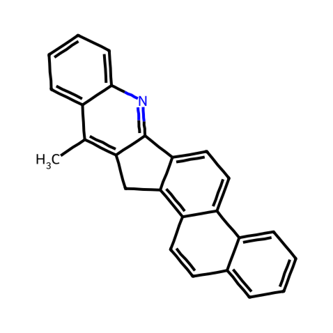 Cc1c2c(nc3ccccc13)-c1ccc3c(ccc4ccccc43)c1C2